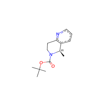 C[C@@H]1c2cccnc2CCN1C(=O)OC(C)(C)C